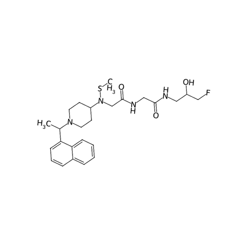 CSN(CC(=O)NCC(=O)NCC(O)CF)C1CCN(C(C)c2cccc3ccccc23)CC1